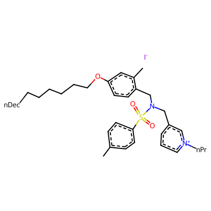 CCCCCCCCCCCCCCCCOc1ccc(CN(Cc2ccc[n+](CCC)c2)S(=O)(=O)c2ccc(C)cc2)c(C)c1.[I-]